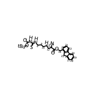 CC(C)(C)OC(=O)NC(=S)NCCCCCC(N)C(=O)OCc1cccc2c1Cc1ccccc1-2